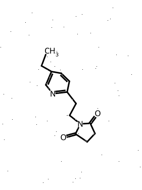 CCc1ccc(C[CH]N2C(=O)CCC2=O)nc1